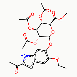 CCOc1cc2cc(C(C)=O)[nH]c2cc1OC1O[C@H](C(=O)OC)[C@@H](OC(C)=O)[C@H](OC(C)=O)[C@H]1OC(C)=O